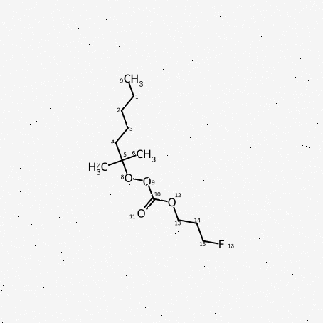 CCCCCC(C)(C)OOC(=O)OCCCF